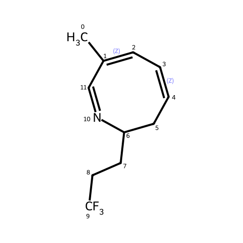 C/C1=C/C=C\CC(CCC(F)(F)F)N=C1